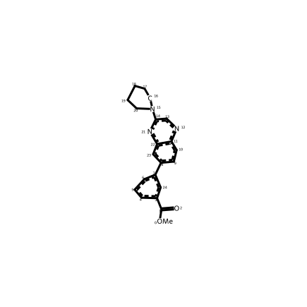 COC(=O)c1cccc(-c2ccc3ncc(N4CCCCC4)nc3c2)c1